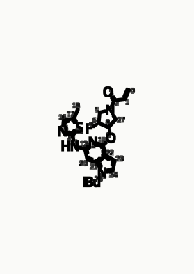 C=CC(=O)N1C[C@H](F)[C@H](Oc2nc(Nc3ncc(C)s3)cc3c2ccn3[C@@H](C)CC)C1